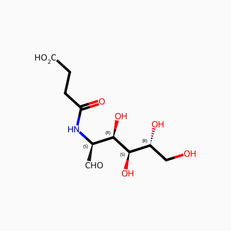 O=C[C@@H](NC(=O)CCC(=O)O)[C@@H](O)[C@H](O)[C@H](O)CO